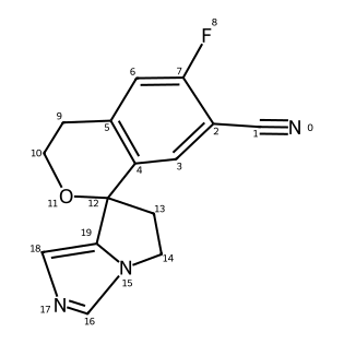 N#Cc1cc2c(cc1F)CCOC21CCn2cncc21